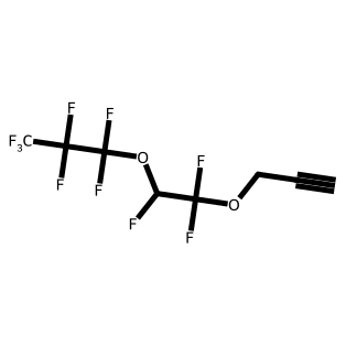 C#CCOC(F)(F)C(F)OC(F)(F)C(F)(F)C(F)(F)F